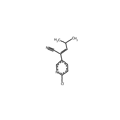 CC(C)C=C(C#N)c1ccc(Cl)nc1